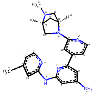 Cc1ccnc(Nc2cc(N)cc(-c3ccnc(N4C[C@@H]5C[C@H]4CN5C(=O)O)c3)n2)c1